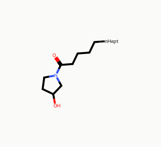 CCCCCCCCCCCC(=O)N1CCC(O)C1